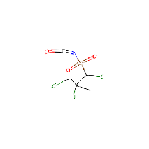 CC(Cl)(CCl)C(Cl)S(=O)(=O)N=C=O